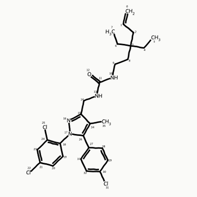 C=CCC(CC)(CC)CCNC(=O)NCc1nn(-c2ccc(Cl)cc2Cl)c(-c2ccc(Cl)cc2)c1C